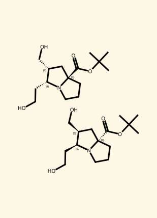 CC(C)(C)OC(=O)[C@@]12CCCN1[C@H](CCO)[C@H](CO)C2.CC(C)(C)OC(=O)[C@]12CCCN1[C@@H](CCO)[C@@H](CO)C2